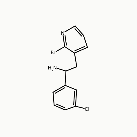 NC(Cc1cccnc1Br)c1cccc(Cl)c1